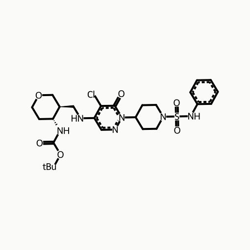 CC(C)(C)OC(=O)N[C@@H]1CCOC[C@H]1CNc1cnn(C2CCN(S(=O)(=O)Nc3ccccc3)CC2)c(=O)c1Cl